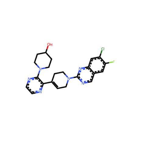 OC1CCN(c2nccnc2C2=CCN(c3ncc4cc(F)c(Cl)cc4n3)CC2)CC1